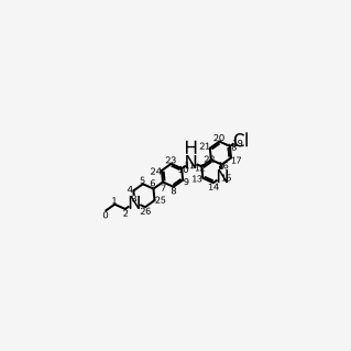 CCCN1CCC(c2ccc(Nc3ccnc4cc(Cl)ccc34)cc2)CC1